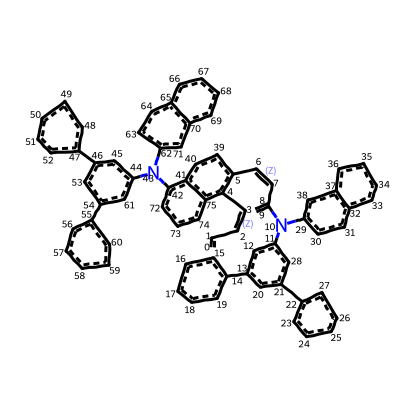 C=C/C=C\c1c(/C=C\C(=C)N(c2cc(-c3ccccc3)cc(-c3ccccc3)c2)c2ccc3ccccc3c2)ccc2c(N(c3cc(-c4ccccc4)cc(-c4ccccc4)c3)c3ccc4ccccc4c3)cccc12